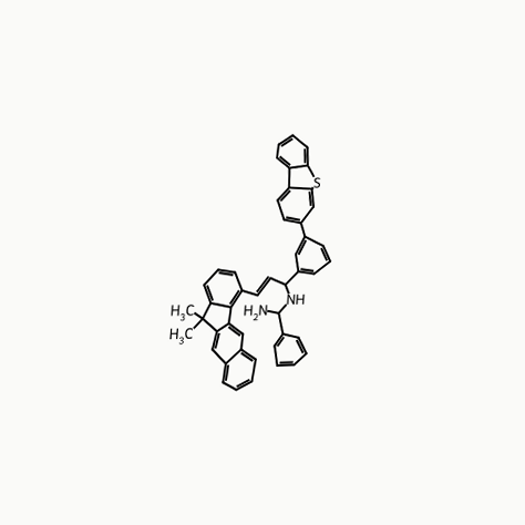 CC1(C)c2cc3ccccc3cc2-c2c(/C=C/C(NC(N)c3ccccc3)c3cccc(-c4ccc5c(c4)sc4ccccc45)c3)cccc21